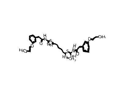 CNC(CCCCc1nnc(NC(=O)Cc2cccc(OCCO)c2)s1)SC(=N)NC(=O)Cc1cccc(OCCO)c1